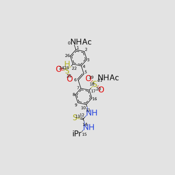 CC(=O)Nc1ccc(/C=C/c2ccc(NC(=S)NC(C)C)cc2S(=O)(=O)NC(C)=O)c([SH](=O)=O)c1